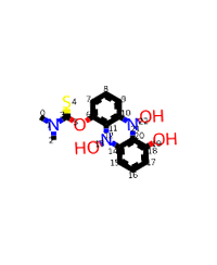 CN(C)C(=S)Oc1cccc2c1N(O)c1cccc(O)c1N2O